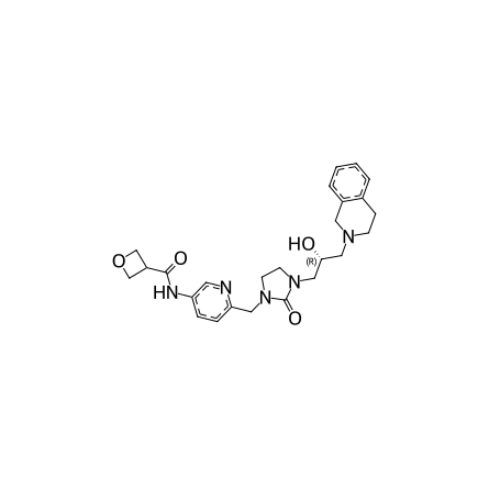 O=C(Nc1ccc(CN2CCN(C[C@H](O)CN3CCc4ccccc4C3)C2=O)nc1)C1COC1